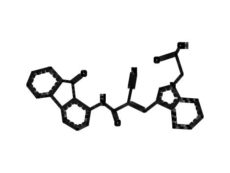 N#CC(=Cc1cn(CC(=O)O)c2ccccc12)C(=O)Nc1cccc2c1C(=O)c1ccccc1-2